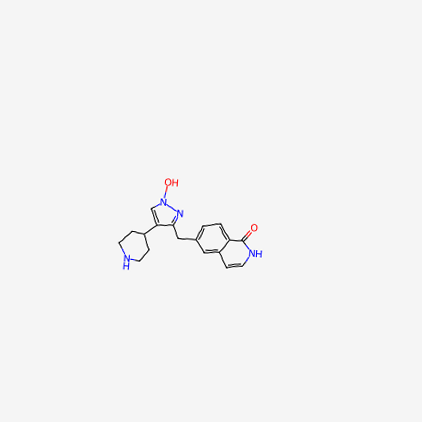 O=c1[nH]ccc2cc(Cc3nn(O)cc3C3CCNCC3)ccc12